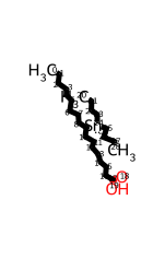 CCCCCCCCCCCCCCCCCC(=O)O.CCC[CH2][Sn][CH2]CCC